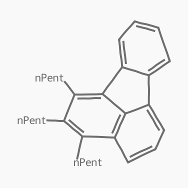 CCCCCc1c(CCCCC)c2c3c(cccc3c1CCCCC)-c1ccccc1-2